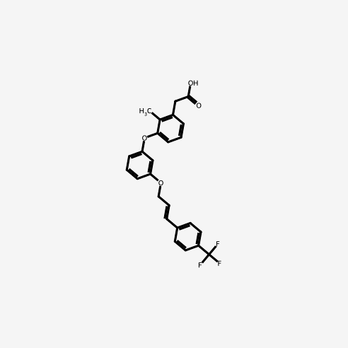 Cc1c(CC(=O)O)cccc1Oc1cccc(OCC=Cc2ccc(C(F)(F)F)cc2)c1